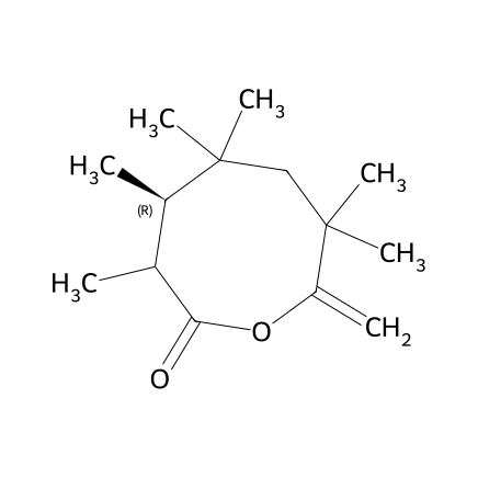 C=C1OC(=O)C(C)[C@@H](C)C(C)(C)CC1(C)C